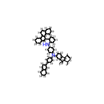 CC1CC=CC2=C1C(C)(C)c1cc(N(c3ccc(Nc4ccccc4-c4cc5ccccc5c5ccc6ccccc6c45)cc3)c3ccc(-c4ccc5ccccc5c4)cc3)ccc12